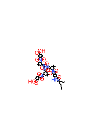 CCCCCC(CCC)C(C)(C)NC(=O)c1ccc2c(c1)C(=O)N(C1CC(C)(C)CC(C)(Cn3c(=O)n(CC4(C)CC(N5C(=O)c6ccc(C(=O)O)cc6C5=O)CC(C)(C)C4)c(=O)n(CC4(C)CC(C(C)(C)N5C(=O)c6ccc(C(=O)O)cc6C5=O)CC(C)(C)C4)c3=O)C1)C2=O